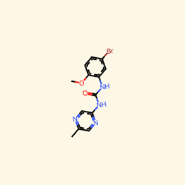 COc1ccc(Br)cc1NC(=O)Nc1cnc(C)cn1